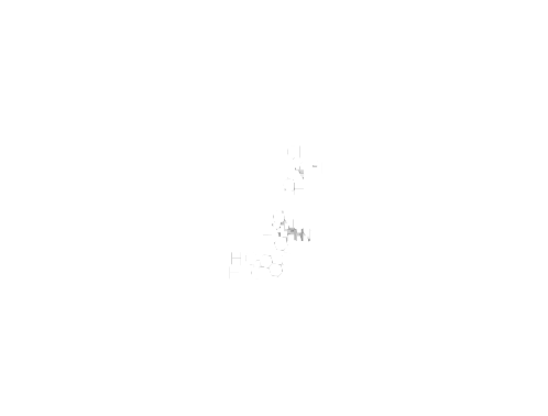 CCCC(COCCCCOc1nc(N2CC3CCC(C2)N3)c2cc(Cl)c(-c3cc(O)c(C)c4ccccc34)c(F)c2n1)NC